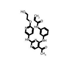 C=CC(=O)Nc1cccc(Nc2nc(Nc3ccc(OCCO)nc3)ncc2C(C)=O)c1